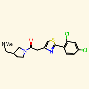 CNCC1CCN(C(=O)Cc2csc(-c3ccc(Cl)cc3Cl)n2)C1